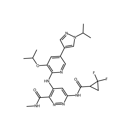 CNC(=O)c1nnc(NC(=O)C2CC2(F)F)cc1Nc1ncc(-c2cnn(C(C)C)c2)cc1OC(C)C